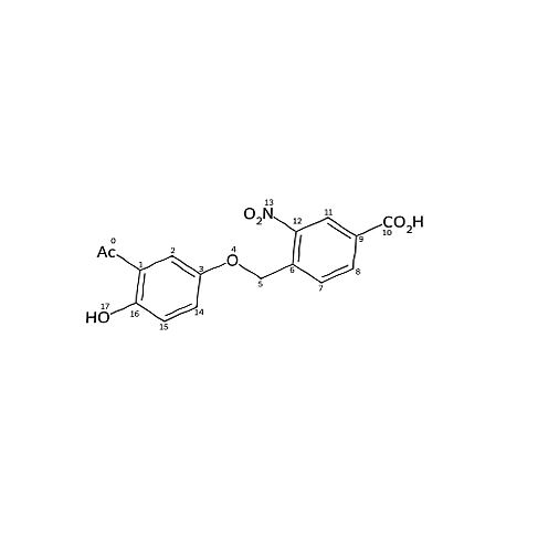 CC(=O)c1cc(OCc2ccc(C(=O)O)cc2[N+](=O)[O-])ccc1O